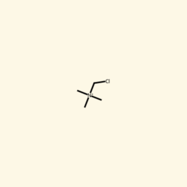 C[N+](C)(C)CCl